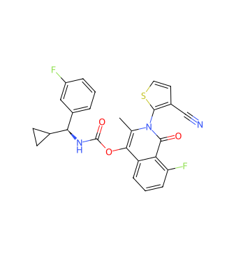 Cc1c(OC(=O)N[C@H](c2cccc(F)c2)C2CC2)c2cccc(F)c2c(=O)n1-c1sccc1C#N